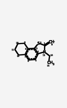 [CH]=C1Sc2c(ccc3c2CCCC3)N1CC